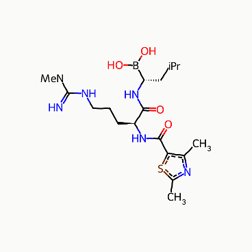 CNC(=N)NCCC[C@H](NC(=O)c1sc(C)nc1C)C(=O)N[C@@H](CC(C)C)B(O)O